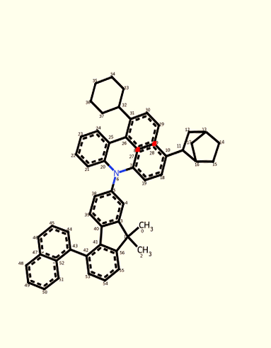 CC1(C)c2cc(N(c3ccc(C4CC5CCC4C5)cc3)c3ccccc3-c3ccccc3C3CCCCC3)ccc2-c2c(-c3cccc4ccccc34)cccc21